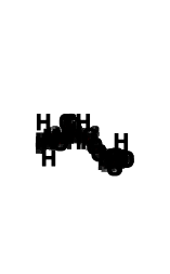 CC1(C)CCN(c2nn(-c3ccc(C(=O)NCCOCCOCCNc4cccc5c4C(=O)N(C4CCC(=O)NC4=O)C5=O)cc3)cc2NCc2coc(-c3ccnc(NCC(F)(F)F)c3)n2)C1=O